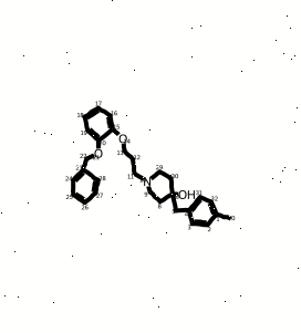 Cc1ccc(CC2(O)CCN(CCCOc3ccccc3OCc3ccccc3)CC2)cc1